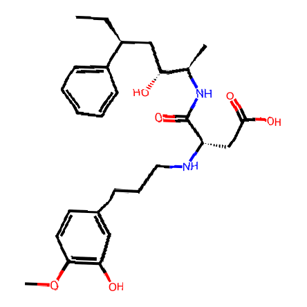 CC[C@@H](C[C@@H](O)[C@@H](C)NC(=O)[C@H](CC(=O)O)NCCCc1ccc(OC)c(O)c1)c1ccccc1